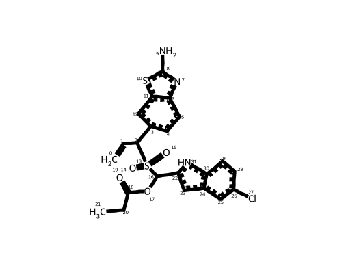 C=CC(c1ccc2nc(N)sc2c1)S(=O)(=O)C(OC(=O)CC)c1cc2cc(Cl)ccc2[nH]1